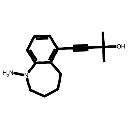 CC(C)(O)C#Cc1cccc2c1CCCCN2N